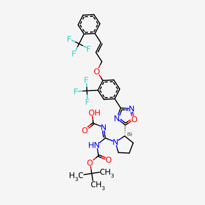 CC(C)(C)OC(=O)NC(=NC(=O)O)N1CCC[C@H]1c1nc(-c2ccc(OCC=Cc3ccccc3C(F)(F)F)c(C(F)(F)F)c2)no1